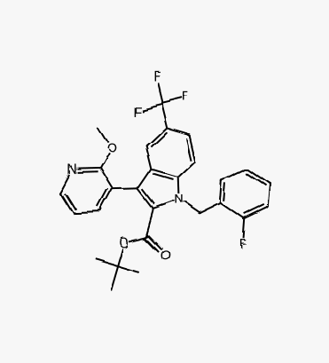 COc1ncccc1-c1c(C(=O)OC(C)(C)C)n(Cc2ccccc2F)c2ccc(C(F)(F)F)cc12